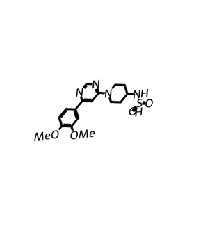 COc1ccc(-c2cc(N3CCC(N[SH](=O)=O)CC3)ncn2)cc1OC